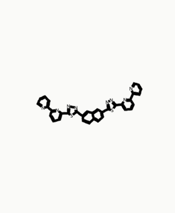 c1ccc(-c2cccc(-c3nnc(-c4ccc5ccc(-c6nnc(-c7cccc(-c8ccccn8)n7)s6)cc5c4)s3)n2)nc1